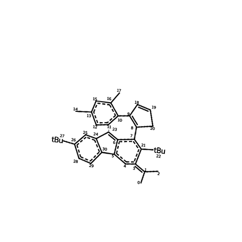 CC(C)=c1cc2c(c(C3=C(c4ccc(C)cc4C)C=CC3)c1C(C)(C)C)=[C]c1cc(C(C)(C)C)ccc1-2